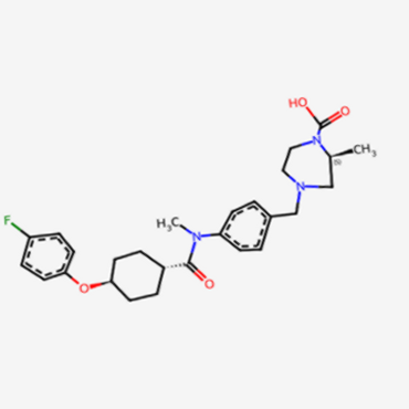 C[C@H]1CN(Cc2ccc(N(C)C(=O)[C@H]3CC[C@H](Oc4ccc(F)cc4)CC3)cc2)CCN1C(=O)O